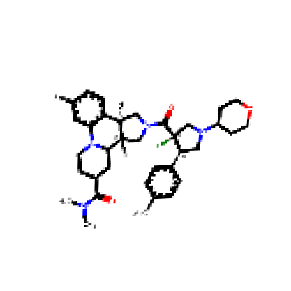 COc1ccc([C@@H]2CN(C3CCOCC3)C[C@@]2(F)C(=O)N2C[C@@H]3c4ccc(C(F)(F)F)cc4N4CCC(C(=O)N(C)C)CC4[C@H]3C2)cc1